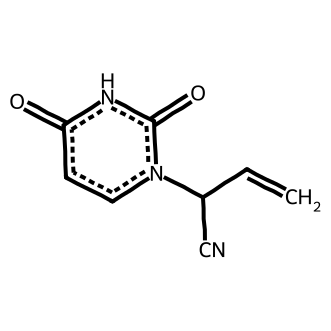 C=CC(C#N)n1ccc(=O)[nH]c1=O